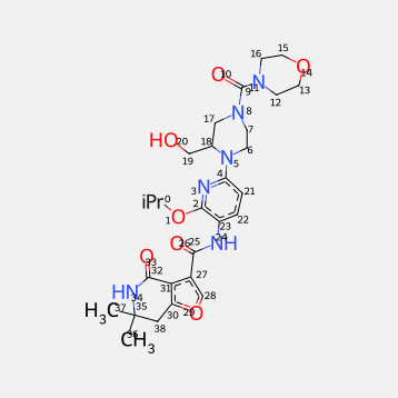 CC(C)Oc1nc(N2CCN(C(=O)N3CCOCC3)CC2CO)ccc1NC(=O)c1coc2c1C(=O)NC(C)(C)C2